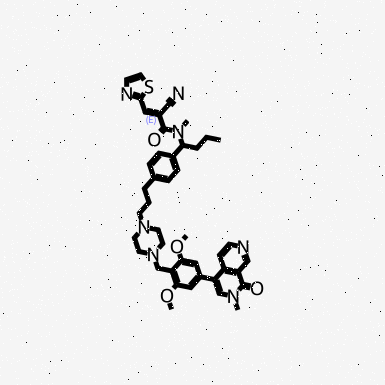 CCCC(c1ccc(CCCN2CCN(Cc3c(OC)cc(-c4cn(C)c(=O)c5cnccc45)cc3OC)CC2)cc1)N(C)C(=O)/C(C#N)=C/c1nccs1